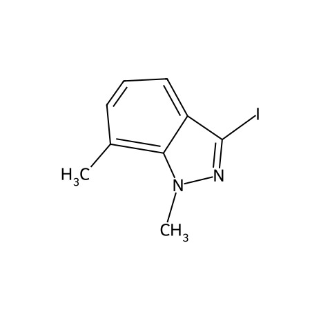 Cc1cccc2c(I)nn(C)c12